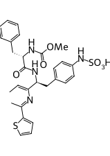 C/C=C(\N=C(/C)c1cccs1)[C@H](Cc1ccc(NS(=O)(=O)O)cc1)NC(=O)[C@H](Cc1ccccc1)NC(=O)OC